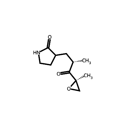 C[C@@H](CC1CCNC1=O)C(=O)[C@@]1(C)CO1